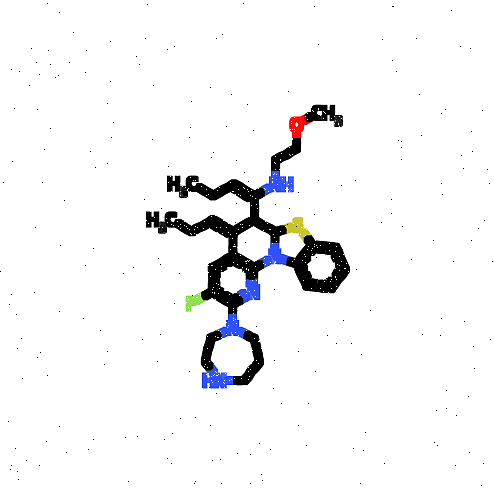 CC/C=C1\c2cc(F)c(N3CCCNCC3)nc2N2c3ccccc3SC2C1/C(=C\CC)NCCOC